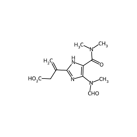 C=C(CC(=O)O)c1nc(N(C)C=O)c(C(=O)N(C)C)[nH]1